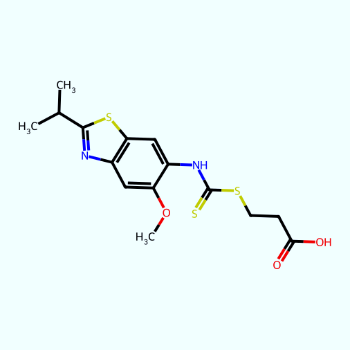 COc1cc2nc(C(C)C)sc2cc1NC(=S)SCCC(=O)O